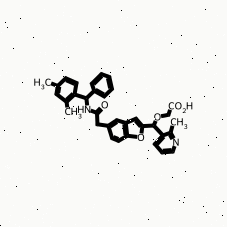 Cc1ccc(C(NC(=O)Cc2ccc3oc(C(OCC(=O)O)c4cccnc4C)cc3c2)c2ccccc2)c(C)c1